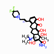 CN(C)[C@@H]1C(O)=C(C(N)=O)C(C)(O)C2C(O)=C3C(=O)c4c(O)ccc(/C=C/CN5CCC(F)(F)CC5)c4CC3CC21